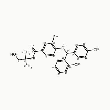 CC(C)(CO)NC(=O)c1ccc(OC(c2ccc(Cl)cc2)c2ccccc2Cl)c(F)c1